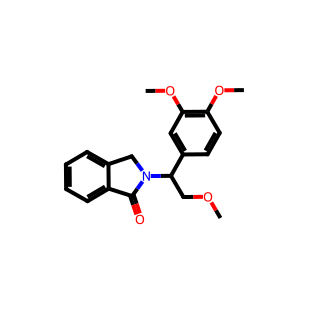 COCC(c1ccc(OC)c(OC)c1)N1Cc2ccccc2C1=O